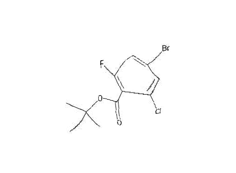 CC(C)(C)OC(=O)c1c(F)cc(Br)cc1Cl